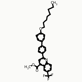 CCCCCCCCOc1ccc(-c2ccc(-c3cc(C(=O)OC)c4cc(C(F)(F)F)ccc4n3)cc2)cc1